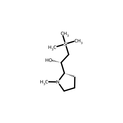 CN1CCC[C@H]1[C@H](O)C[Si](C)(C)C